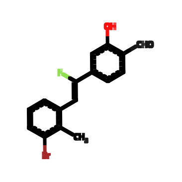 Cc1c(Br)cccc1C=C(F)c1ccc(C=O)c(O)c1